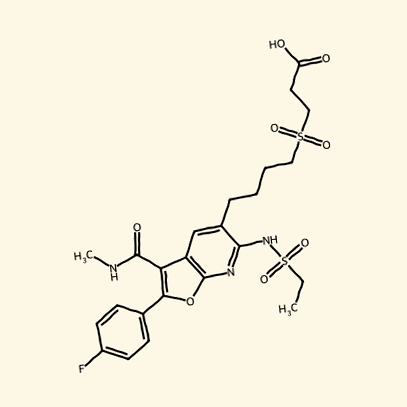 CCS(=O)(=O)Nc1nc2oc(-c3ccc(F)cc3)c(C(=O)NC)c2cc1CCCCS(=O)(=O)CCC(=O)O